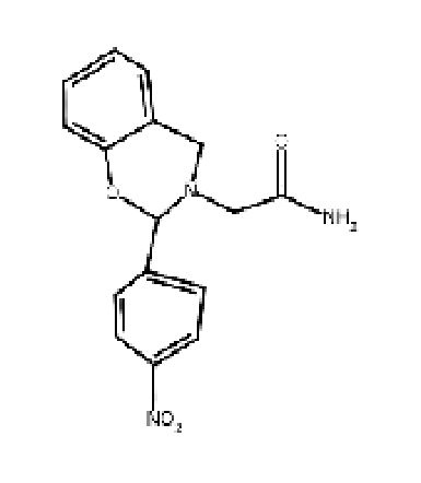 NC(=O)CN1Cc2ccccc2OC1c1ccc([N+](=O)[O-])cc1